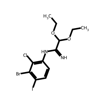 CCOC(OCC)C(=N)Nc1ccc(I)c(Br)c1Cl